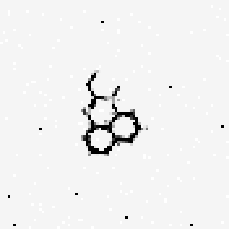 CCC1=Nc2cccc3cccc(c23)N1C